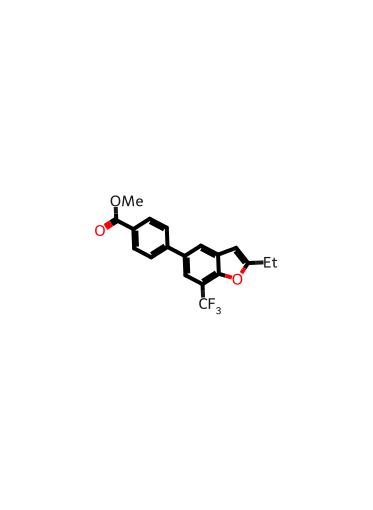 CCc1cc2cc(-c3ccc(C(=O)OC)cc3)cc(C(F)(F)F)c2o1